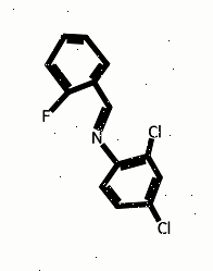 Fc1ccccc1/C=N/c1ccc(Cl)cc1Cl